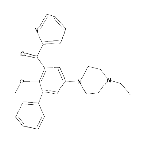 CCN1CCN(c2cc(C(=O)c3ccccn3)c(OC)c(-c3ccccc3)c2)CC1